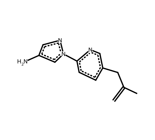 C=C(C)Cc1ccc(-n2cc(N)cn2)nc1